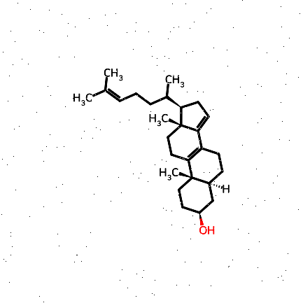 CC(C)=CCCC(C)[C@H]1CC=C2C3=C(CC[C@@]21C)[C@@]1(C)CC[C@H](O)C[C@@H]1CC3